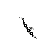 CCCCCCCC1CCC(CCc2ccc(C3CCC(CCC)CC3)c(F)c2OC)CC1